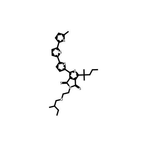 CCCC(C)(C)c1sc(-c2ccc(-c3ccc(-c4ccc(C)s4)s3)s2)c2c1C(=S)N(CCOCC(C)CC)C2=S